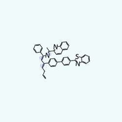 C=CC/C=C(/C=C(\N=C(/C)c1ccc2ccccc2n1)c1ccccc1)c1ccc(-c2ccc(-c3nc4ccccc4s3)cc2)cc1